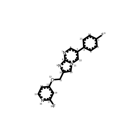 Fc1ccc(-c2cnc3nc(COc4ccnc(F)c4)cn3c2)cc1